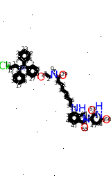 CN(CCOc1ccc(/C(=C(/CCCl)c2ccccc2)c2ccccc2)cc1)C(=O)CCCCCCCNc1cccc2c1CN(C1CCC(=O)NC1=O)C2=O